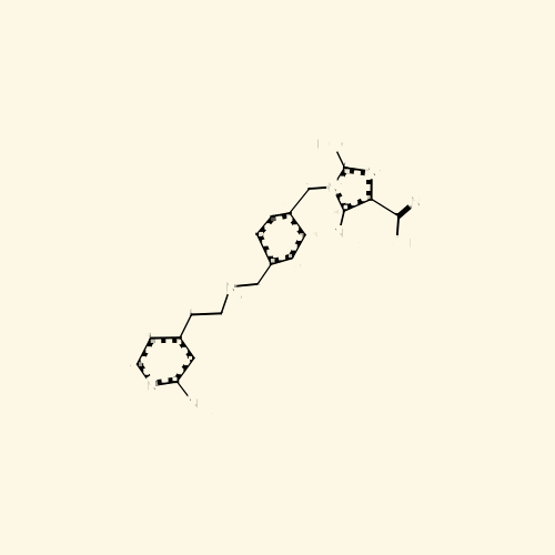 CC(=N)c1nc(O)n(Cc2ccc(CNCCc3ccnc(N)c3)cc2)c1N